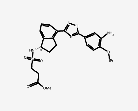 COC(=O)CCS(=O)(=O)N[C@H]1CCc2c(-c3noc(-c4ccc(OC(C)C)c(N)c4)n3)cccc21